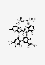 CC(C)OC(=O)c1cc(-n2c(=O)cc(C(F)(F)F)n(C)c2=O)ccc1Cl.CP(=O)(O)CCC(N)C(=O)O.Cc1ccn2nc(S(=O)(=O)Nc3c(F)cccc3F)nc2n1